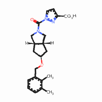 Cc1cccc(CO[C@H]2C[C@@H]3CN(C(=O)n4ccc(C(=O)O)n4)C[C@@H]3C2)c1C